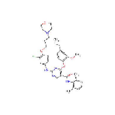 CCCc1ccc(Oc2nc(Nc3ccc(OCCCN4CCOCC4)c(F)c3)ncc2C(=O)Nc2c(C)cccc2C)c(OC)c1